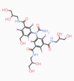 NC(=O)N(c1c(I)c(CO)c(I)c(C(=O)NCC(O)CO)c1I)c1c(I)c(C(=O)NCC(O)CO)c(I)c(C(=O)NCC(O)CO)c1I